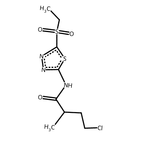 CCS(=O)(=O)c1nnc(NC(=O)C(C)CCCl)s1